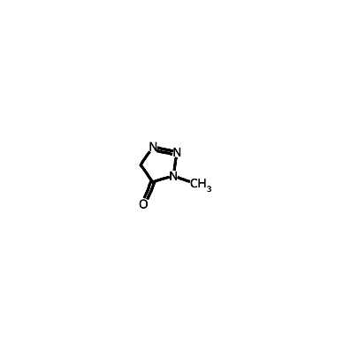 CN1N=NCC1=O